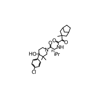 CC(C)[C@@H](NC(=O)C(=O)C1(C)CC2CCC(C2)C1)C(=O)N1CC[C@](O)(c2ccc(Cl)cc2)C(C)(C)C1